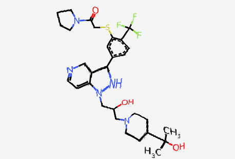 CC(C)(O)C1CCN(CC(O)CN2NC(c3ccc(C(F)(F)F)c(SCC(=O)N4CCCC4)c3)C3CN=CC=C32)CC1